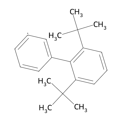 CC(C)(C)c1cccc(C(C)(C)C)c1-c1c[c]ccc1